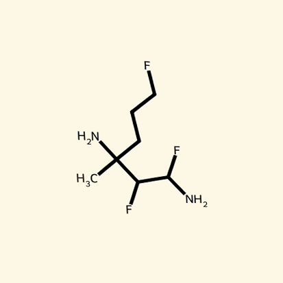 CC(N)(CCCF)C(F)C(N)F